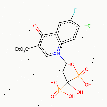 CCOC(=O)c1cn(CCC(O)(P(=O)(O)O)P(=O)(O)O)c2cc(Cl)c(F)cc2c1=O